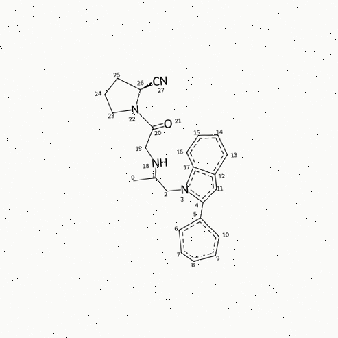 CC(Cn1c(-c2ccccc2)cc2ccccc21)NCC(=O)N1CCC[C@H]1C#N